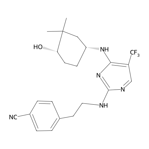 CC1(C)C[C@H](Nc2nc(NCCc3ccc(C#N)cc3)ncc2C(F)(F)F)CC[C@@H]1O